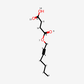 CCCCC#CCOC(=O)CCC(=O)O